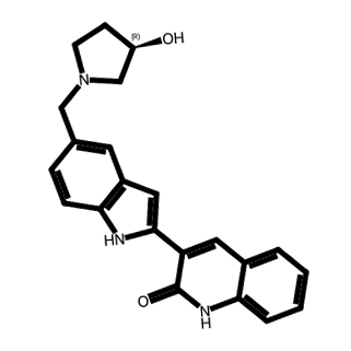 O=c1[nH]c2ccccc2cc1-c1cc2cc(CN3CC[C@@H](O)C3)ccc2[nH]1